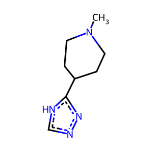 CN1CCC(c2nnc[nH]2)CC1